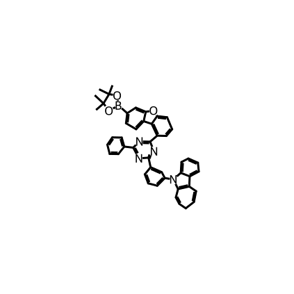 CC1(C)OB(c2ccc3c(c2)oc2cccc(-c4nc(-c5ccccc5)nc(-c5cccc(-n6c7c(c8ccccc86)C=CCC=C7)c5)n4)c23)OC1(C)C